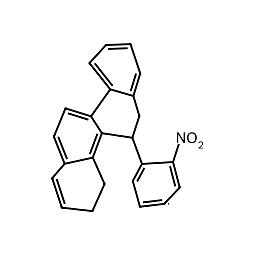 O=[N+]([O-])c1c[c]ccc1C1Cc2ccccc2-c2ccc3c(c21)CCC=C3